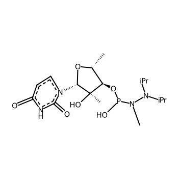 CC(C)N(C(C)C)N(C)P(O)O[C@@H]1[C@@H](C)O[C@@H](n2ccc(=O)[nH]c2=O)[C@]1(C)O